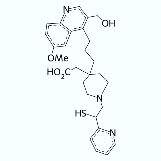 COc1ccc2ncc(CO)c(CCCC3(CC(=O)O)CCN(CC(S)c4ccccn4)CC3)c2c1